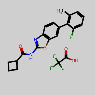 Cc1cccc(F)c1-c1ccc2nc(NC(=O)C3CCC3)sc2c1.O=C(O)C(F)(F)F